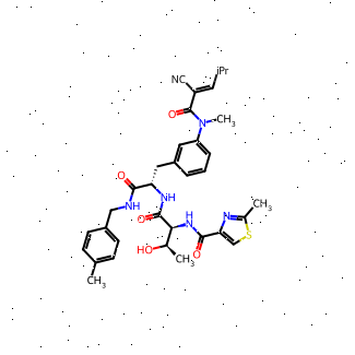 Cc1ccc(CNC(=O)[C@H](Cc2cccc(N(C)C(=O)C(C#N)=CC(C)C)c2)NC(=O)[C@@H](NC(=O)c2csc(C)n2)[C@@H](C)O)cc1